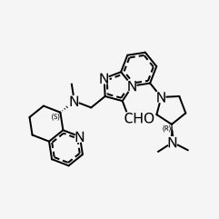 CN(C)[C@@H]1CCN(c2cccc3nc(CN(C)[C@H]4CCCc5cccnc54)c(C=O)n23)C1